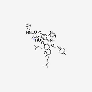 CC(C)=CCCC1(C)C=Cc2c(c(CC=C(C)C)c3c(c2OCCN2CCN(C)CC2)C2=C4C(C5CC(C(C)C)C4(O3)C(O)(C/C=C(/C)C(=O)NCCO)C5=O)n3ncnc3N2)O1